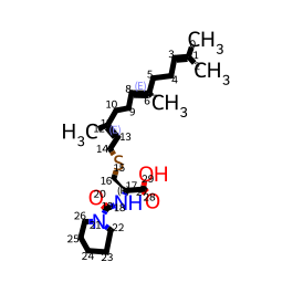 CC(C)=CCC/C(C)=C/CC/C(C)=C/CSC[C@H](NC(=O)N1CCCCC1)C(=O)O